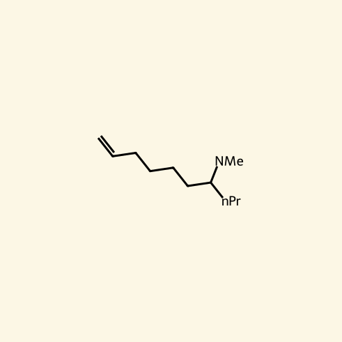 C=CCCCCC(CCC)NC